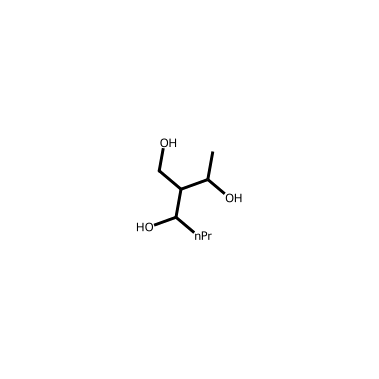 CCCC(O)C(CO)C(C)O